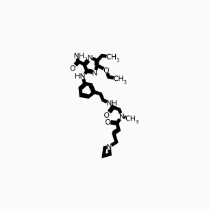 CCOc1nc(Nc2cccc(CCNC(=O)CN(C)C(=O)/C=C/CN3CCC3)c2)c(C(N)=O)nc1CC